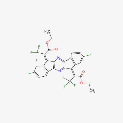 CCOC(=O)/C(=C1\c2cc(F)ccc2-c2nc3c(nc21)-c1ccc(F)cc1/C3=C(/C(=O)OCC)C(F)(F)F)C(F)(F)F